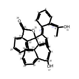 C=C/C(=c1/cccc/c1=C(/C)O)C1(c2ccc(O)c3ccccc23)OC(=O)c2ccccc21